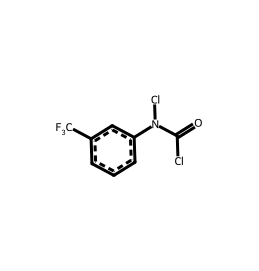 O=C(Cl)N(Cl)c1cccc(C(F)(F)F)c1